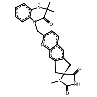 CN1C(=O)NC(=O)[C@]12Cc1cc3ccc(CN4C(=O)C(C)(C)Nc5ccccc54)nc3cc1C2